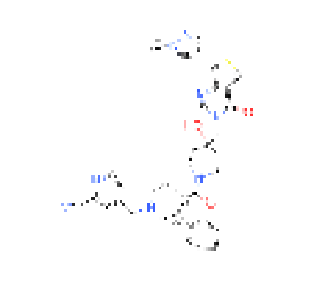 Cn1cc(-c2scc3c(=O)n(CC4(O)CCN(C(=O)[C@@H]5CCN(Cc6ccnc(C#N)c6)C[C@H]5c5ccccc5)CC4)cnc23)cn1